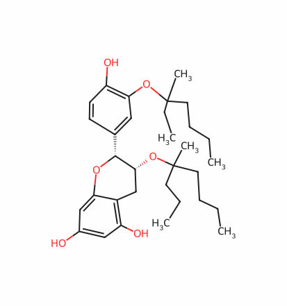 CCCCC(C)(CC)Oc1cc([C@H]2Oc3cc(O)cc(O)c3C[C@H]2OC(C)(CCC)CCCC)ccc1O